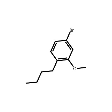 CCC[CH]c1ccc(Br)cc1OC